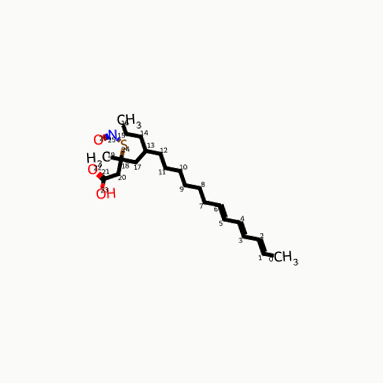 CC=CC=CC=CCCCCCCC(CCC)CC(C)(CC(=O)O)SN=O